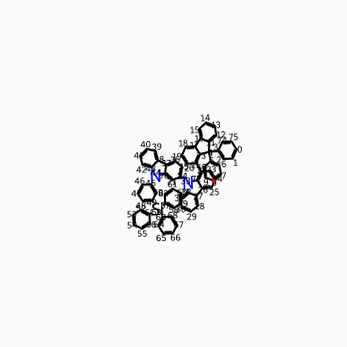 c1ccc(C2(c3ccccc3)c3ccccc3-c3cccc(-c4cccc5c6ccccc6n(-c6ccc7c8ccccc8n(-c8cccc([Si](c9ccccc9)(c9ccccc9)c9ccccc9)c8)c7c6)c45)c32)cc1